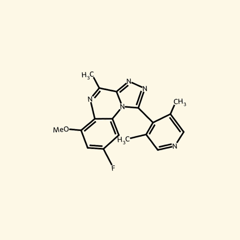 COc1cc(F)cc2c1nc(C)c1nnc(-c3c(C)cncc3C)n12